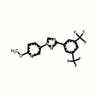 COc1ccc(-n2cnc(-c3cc(C(F)(F)F)cc(C(F)(F)F)c3)n2)[c]n1